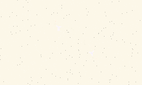 C[C@@H](NC(=O)OC(C)(C)C)c1ccc(-c2ccc([C@H]3OC(C)(C)N(C(=O)C(Cl)Cl)[C@@H]3CF)cc2)cc1